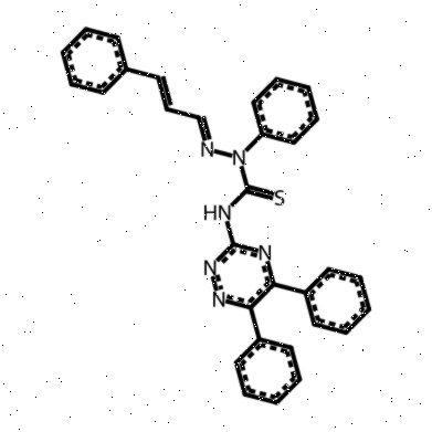 S=C(Nc1nnc(-c2ccccc2)c(-c2ccccc2)n1)N(N=CC=Cc1ccccc1)c1ccccc1